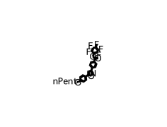 CCCCCOc1ccc(-c2cc(-c3ccc(C(=O)Oc4c(F)c(F)c(F)c(F)c4F)cc3)no2)cc1